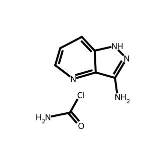 NC(=O)Cl.Nc1n[nH]c2cccnc12